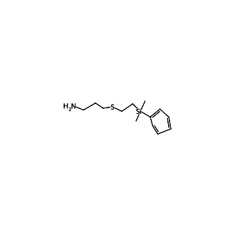 C[Si](C)(CCSCCCN)c1ccccc1